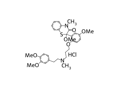 COc1ccc(OCCCN(C)CCc2ccc(OC)c(OC)c2)c(C2(OC)Sc3ccccc3N(C)C2=O)c1.Cl